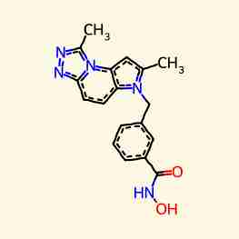 Cc1cc2c(ccc3nnc(C)n32)n1Cc1cccc(C(=O)NO)c1